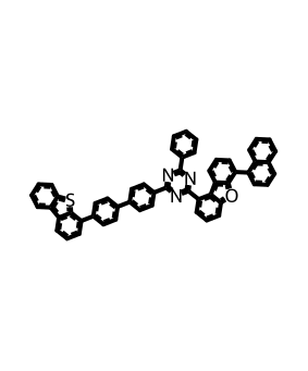 c1ccc(-c2nc(-c3ccc(-c4ccc(-c5cccc6c5sc5ccccc56)cc4)cc3)nc(-c3cccc4oc5c(-c6cccc7ccccc67)cccc5c34)n2)cc1